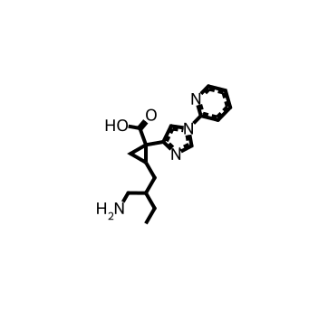 CCC(CN)CC1CC1(C(=O)O)c1cn(-c2ccccn2)cn1